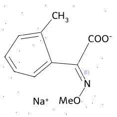 CO/N=C(/C(=O)[O-])c1ccccc1C.[Na+]